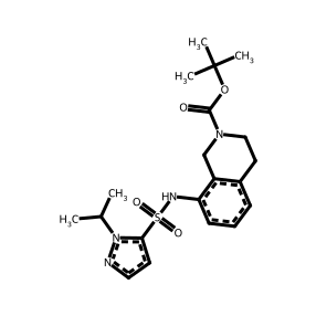 CC(C)n1nccc1S(=O)(=O)Nc1cccc2c1CN(C(=O)OC(C)(C)C)CC2